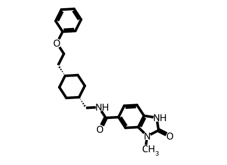 Cn1c(=O)[nH]c2ccc(C(=O)NC[C@H]3CC[C@@H](CCOc4ccccc4)CC3)cc21